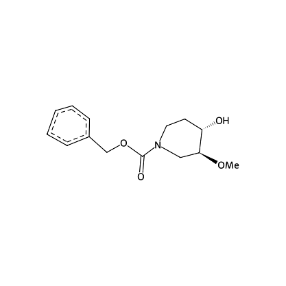 CO[C@H]1CN(C(=O)OCc2ccccc2)CC[C@@H]1O